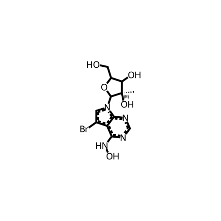 C[C@@]1(O)C(O)C(CO)OC1n1cc(Br)c2c(NO)ncnc21